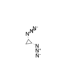 [N-]=[N+]=N[C@H]1C[C@H]1N=[N+]=[N-]